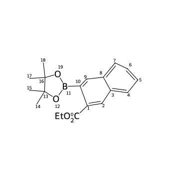 CCOC(=O)c1cc2ccccc2cc1B1OC(C)(C)C(C)(C)O1